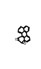 C1=CC23OC2C2OC2c2c3c(c3cccc4cccc2c43)=C1